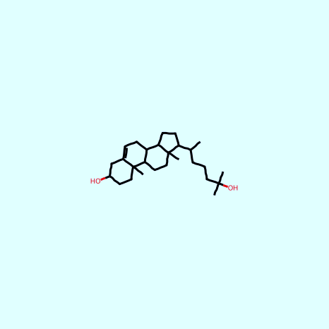 CC(CCCC(C)(C)O)C1CCC2C3CC=C4CC(O)CCC4(C)C3CCC12C